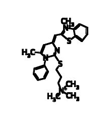 CC1=C/C(=C/c2sc3ccccc3[n+]2C)N=C(SCCC[N+](C)(C)C)N1c1ccccc1